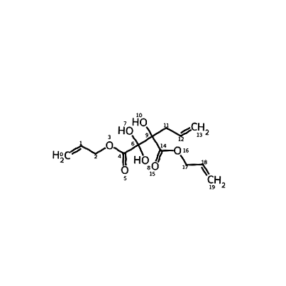 C=CCOC(=O)C(O)(O)C(O)(CC=C)C(=O)OCC=C